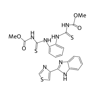 COC(=O)NC(=S)Nc1ccccc1NC(=S)NC(=O)OC.c1ccc2[nH]c(-c3cscn3)nc2c1